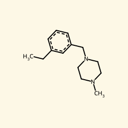 CCc1cccc(CN2CCN(C)CC2)c1